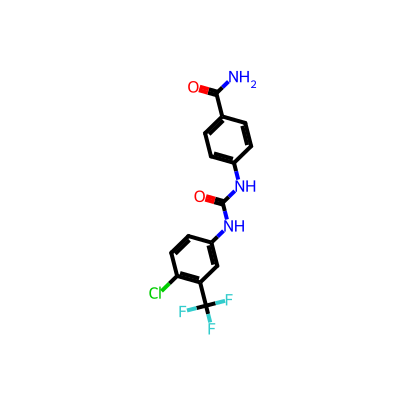 NC(=O)c1ccc(NC(=O)Nc2ccc(Cl)c(C(F)(F)F)c2)cc1